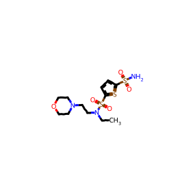 CCN(CCN1CCOCC1)S(=O)(=O)c1ccc(S(N)(=O)=O)s1